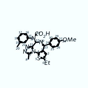 CCc1cc2c(s1)-n1c(C)nnc1C(N(C(=O)O)c1cccc(C)c1)N=C2c1ccc(OC)cc1